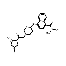 C[C@@H]1C[C@H](F)CN1C(=O)CN1CCC(Nc2ccc(C(=O)N(C)C)c3ncccc23)CC1